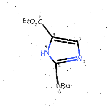 CCCCc1ncc(C(=O)OCC)[nH]1